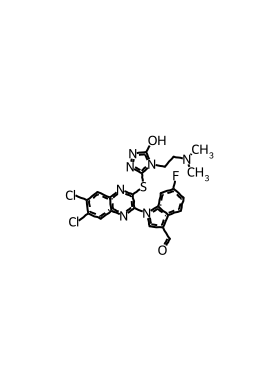 CN(C)CCn1c(O)nnc1Sc1nc2cc(Cl)c(Cl)cc2nc1-n1cc(C=O)c2ccc(F)cc21